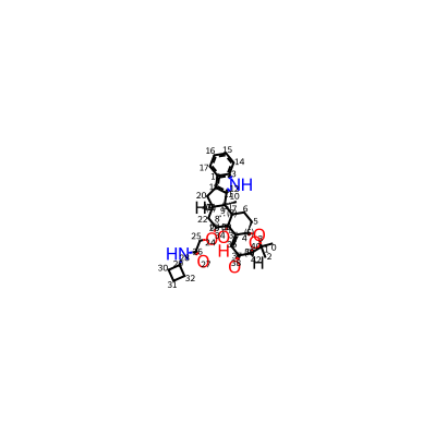 CC1(C)O[C@@]23CC[C@]4(C)[C@@]5(C)c6[nH]c7ccccc7c6C[C@@H]5C[C@H](OCC(=O)NC5CCC5)[C@@]4(O)C2=CC(=O)[C@@H]1O3